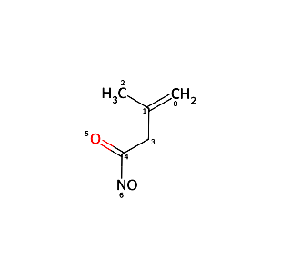 C=C(C)CC(=O)N=O